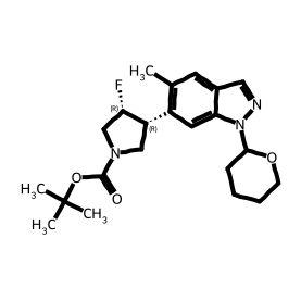 Cc1cc2cnn(C3CCCCO3)c2cc1[C@@H]1CN(C(=O)OC(C)(C)C)C[C@@H]1F